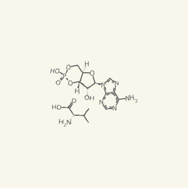 CC(C)[C@H](N)C(=O)O.Nc1ncnc2c1ncn2[C@@H]1O[C@@H]2COP(=O)(O)O[C@H]2[C@H]1O